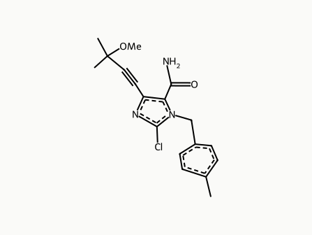 COC(C)(C)C#Cc1nc(Cl)n(Cc2ccc(C)cc2)c1C(N)=O